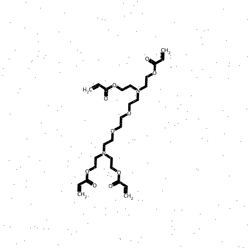 C=CC(=O)OCCN(CCOCCOCCN(CCOC(=O)C=C)CCOC(=O)C=C)CCOC(=O)C=C